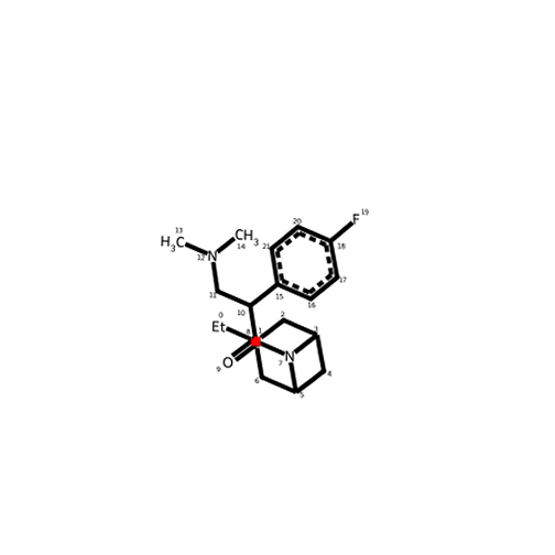 CCN1CC2CC(C1)N2C(=O)C(CN(C)C)c1ccc(F)cc1